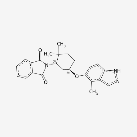 Cc1c(O[C@@H]2CCC(C)(C)[C@@H](N3C(=O)c4ccccc4C3=O)C2)ccc2[nH]ncc12